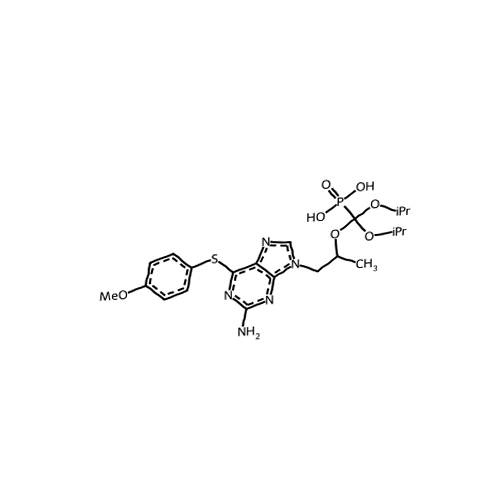 COc1ccc(Sc2nc(N)nc3c2ncn3CC(C)OC(OC(C)C)(OC(C)C)P(=O)(O)O)cc1